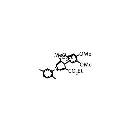 CCOC(=O)C1=CN(c2cc(C)ccc2C)C=C(C(=O)OCC)C1c1cc(OC)c(OC)cc1OC